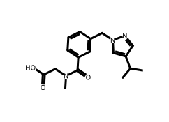 CC(C)c1cnn(Cc2cccc(C(=O)N(C)CC(=O)O)c2)c1